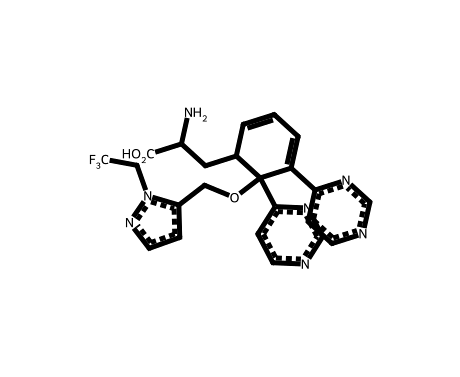 NC(CC1C=CC=C(c2ccncn2)C1(OCc1ccnn1CC(F)(F)F)c1ccncn1)C(=O)O